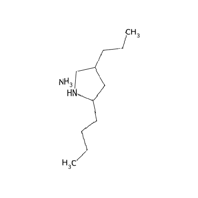 CCCCC1CC(CCC)CN1.N